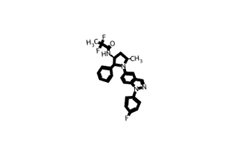 C[C@H]1C[C@H](NC(=O)C(C)(F)F)C(c2ccccc2)N1c1ccc2c(cnn2-c2ccc(F)cc2)c1